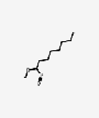 CCCCCCCC(OC)P=O